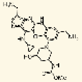 COC(=O)N[C@H]1C[C@@H](O)CN(c2cc(CN)cc(Nc3nc(NC4CC4)c4ncc(CN)n4n3)c2Cl)C1